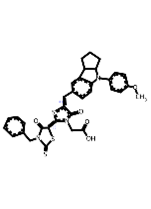 COc1ccc(N2c3ccc(/C=c4/s/c(=C5/SC(=S)N(Cc6ccccc6)C5=O)n(CC(=O)O)c4=O)cc3C3CCCC32)cc1